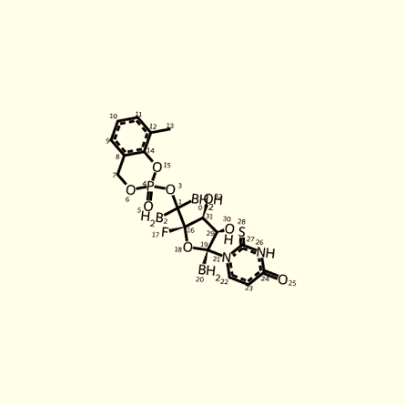 BC(B)(OP1(=O)OCc2cccc(C)c2O1)[C@@]1(F)O[C@@](B)(n2ccc(=O)[nH]c2=S)[C@H](O)[C@@H]1O